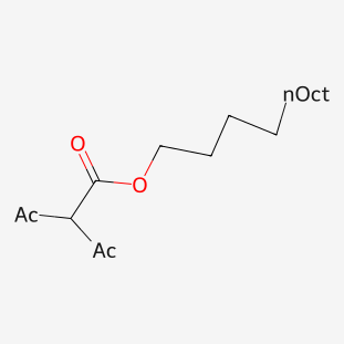 CCCCCCCCCCCCOC(=O)C(C(C)=O)C(C)=O